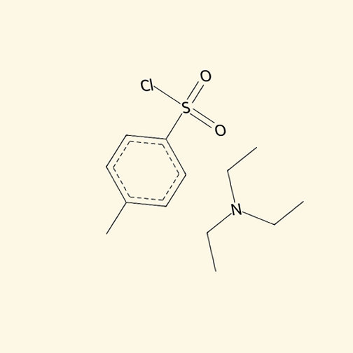 CCN(CC)CC.Cc1ccc(S(=O)(=O)Cl)cc1